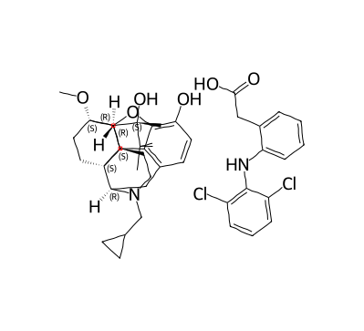 CO[C@@]12CC[C@@]3(C[C@@H]1[C@](C)(O)C(C)(C)C)[C@H]1Cc4ccc(O)c5c4[C@@]3(CCN1CC1CC1)[C@H]2O5.O=C(O)Cc1ccccc1Nc1c(Cl)cccc1Cl